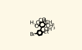 CCc1ccc(Br)cc1C1=C(O)C(C)(C)C(=O)C(C)(C)C1=O